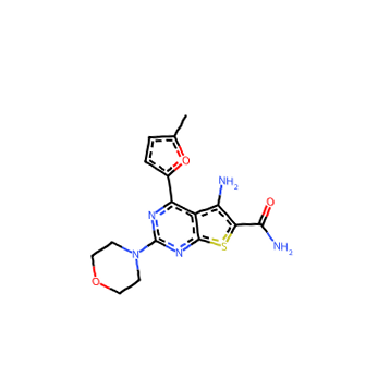 Cc1ccc(-c2nc(N3CCOCC3)nc3sc(C(N)=O)c(N)c23)o1